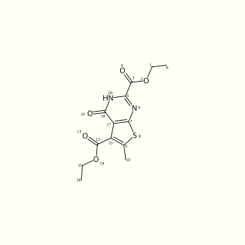 CCOC(=O)c1nc2sc(C)c(C(=O)OCC)c2c(=O)[nH]1